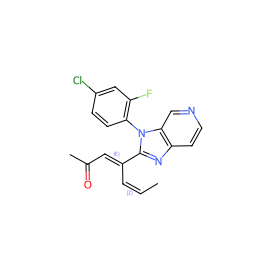 C/C=C\C(=C/C(C)=O)c1nc2ccncc2n1-c1ccc(Cl)cc1F